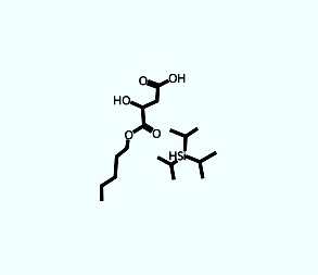 CC(C)[SiH](C(C)C)C(C)C.CCCCCOC(=O)C(O)CC(=O)O